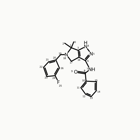 CC1(C)c2[nH]nc(NC(=O)c3ccccc3)c2CN1Cc1cccc(F)c1